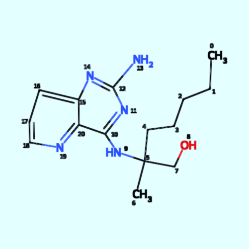 CCCCCC(C)(CO)Nc1nc(N)nc2cccnc12